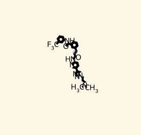 CN(C)CCCn1cc(-c2ccc(NC(=O)/C=C/c3cccc(C(=O)Nc4cccc(C(F)(F)F)c4)c3)nc2)nn1